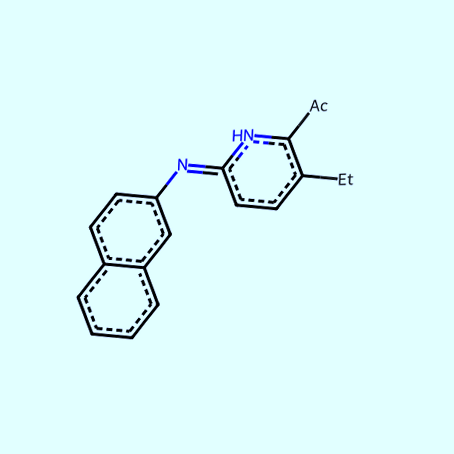 CCc1ccc(=Nc2ccc3ccccc3c2)[nH]c1C(C)=O